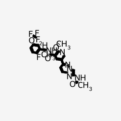 [2H]C(C)(NC(=O)c1cc(-c2ccc3nc(NC(C)=O)cn3n2)cnc1OC)c1cc(OC(F)(F)F)ccc1F